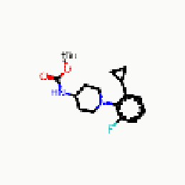 CC(C)(C)OC(=O)NC1CCN(c2c(F)cccc2C2CC2)CC1